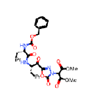 COC(=O)C(C(=O)OC)n1nc(C(=O)[C@H](CC(C)C)NC(=O)[C@H](CC(C)C)NC(=O)OCc2ccccc2)oc1=O